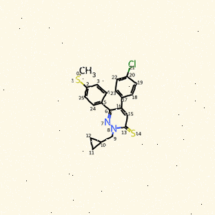 CSc1ccc(-c2nn(CC3CC3)c(=S)cc2-c2ccc(Cl)cc2)cc1